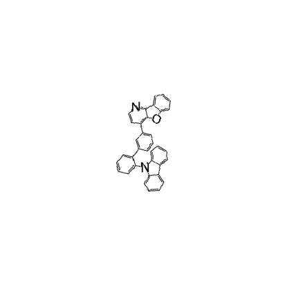 c1cc(-c2ccccc2-n2c3ccccc3c3ccccc32)cc(-c2ccnc3c2oc2ccccc23)c1